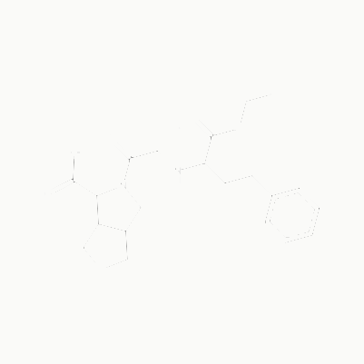 CCOC(=O)C(CCc1ccccc1)N[C@@H](C)C(=O)N1CC2COCC2C1C(=O)O